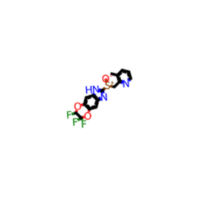 Cc1cccnc1C[S+]([O-])c1nc2cc3c(cc2[nH]1)OC(F)C(F)(F)O3